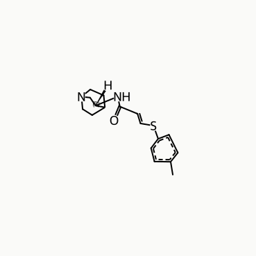 Cc1ccc(SC=CC(=O)N[C@H]2CN3CCC2CC3)cc1